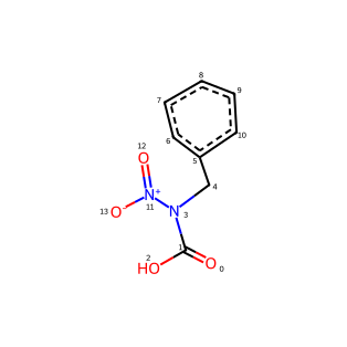 O=C(O)N(Cc1ccccc1)[N+](=O)[O-]